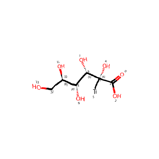 O=C(O)[C@@](O)([Ti])[C@@H](O)[C@H](O)[C@H](O)CO